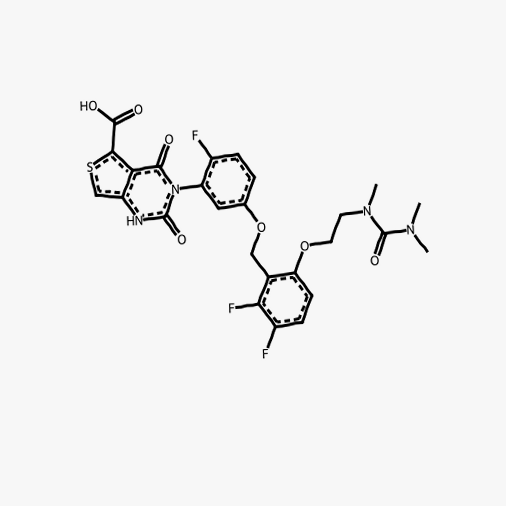 CN(C)C(=O)N(C)CCOc1ccc(F)c(F)c1COc1ccc(F)c(-n2c(=O)[nH]c3csc(C(=O)O)c3c2=O)c1